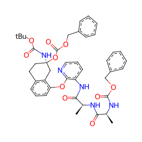 C[C@H](NC(=O)OCc1ccccc1)C(=O)N[C@@H](C)C(=O)Nc1cccnc1Oc1cccc2c1C[C@](NC(=O)OC(C)(C)C)(OC(=O)OCc1ccccc1)CC2